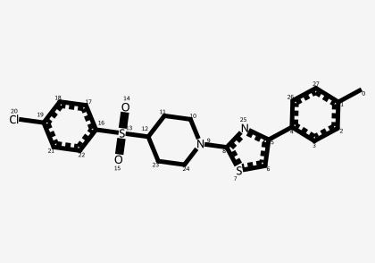 Cc1ccc(-c2csc(N3CCC(S(=O)(=O)c4ccc(Cl)cc4)CC3)n2)cc1